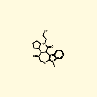 CC(C)CCNC(=O)C1c2c(n(C)c3ccccc23)SCC(=O)N1C1CCCC1